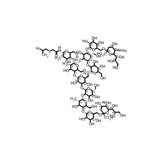 CC(=O)N[C@H]1C([C@H](O)[C@H](O)CO)O[C@@](OCC2O[C@@H](O[C@@H]3C(CO)O[C@@H](OC4C(O)[C@H](O)[C@@H](CO)O[C@@H]4OC4[C@H](O)C(CO[C@H]5OC(CO)[C@@H](O)C(O)C5O[C@@H]5O[C@@H](CO)[C@@H](O[C@@H]6OC(CO[C@]7(C(=O)O)C[C@@H](O)[C@@H](NC(C)=O)C([C@H](O)[C@H](O)CO)O7)[C@H](O)C(O)[C@@H]6O)C(O)C5C)O[C@@H](O[C@@H]5C(CO)O[C@@H](O[C@@H]6C(CO)O[C@@H](NC(=O)CSCC(C)C(C)=O)[C@@H](C)C6O)[C@@H](C)C5O)[C@@H]4O)[C@@H](C)C3O)C(O)C(O)[C@H]2O)(C(=O)O)C[C@H]1O